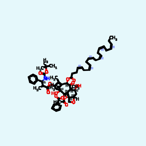 CC/C=C\C/C=C\C/C=C\C/C=C\C/C=C\C/C=C\CCC(=O)O[C@H]1C(=O)[C@@]2(C)[C@H]([C@H](OC(=O)c3ccccc3)[C@]3(O)CC(OC(=O)C(C)[C@@H](NC(=O)OC(C)(C)C)c4ccccc4)C(C)=C1C3(C)C)[C@]1(OC(C)=O)CO[C@@H]1C[C@@H]2O